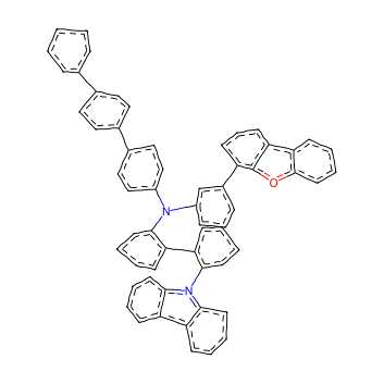 c1ccc(-c2ccc(-c3ccc(N(c4cccc(-c5cccc6c5oc5ccccc56)c4)c4ccccc4-c4ccccc4-n4c5ccccc5c5ccccc54)cc3)cc2)cc1